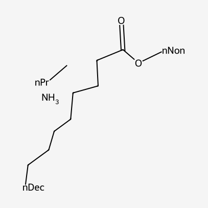 CCCC.CCCCCCCCCCCCCCCCCC(=O)OCCCCCCCCC.N